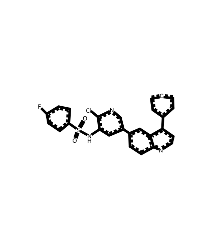 O=S(=O)(Nc1cc(-c2ccc3nccc(-c4ccccc4)c3c2)cnc1Cl)c1ccc(F)cc1